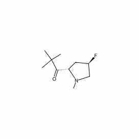 CN1C[C@H](F)C[C@H]1C(=O)C(C)(C)C